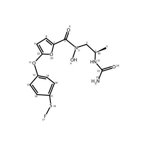 C[C@H](CN(O)C(=O)c1ccc(Oc2ccc(SF)cc2)o1)NC(N)=O